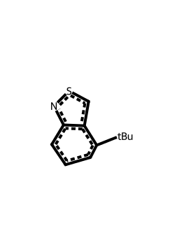 CC(C)(C)c1cccc2nscc12